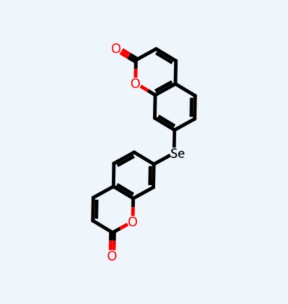 O=c1ccc2ccc([Se]c3ccc4ccc(=O)oc4c3)cc2o1